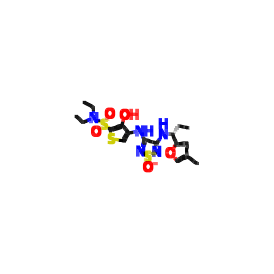 CC[C@@H](Nc1n[s+]([O-])nc1Nc1csc(S(=O)(=O)N(CC)CC)c1O)c1cc(C)co1